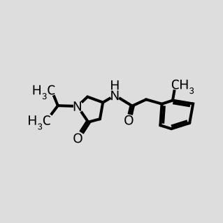 Cc1ccccc1CC(=O)NC1CC(=O)N(C(C)C)C1